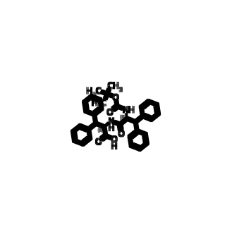 CC(C)(C)OC(=O)N[C@@H](C(=O)N[C@@H](C(=O)O)C(c1ccccc1)c1ccccc1)C(c1ccccc1)c1ccccc1